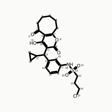 O=C1CCCCCc2oc(=O)c(C(c3cccc(NS(=O)(=O)CCCCl)c3)C3CC3)c(O)c21